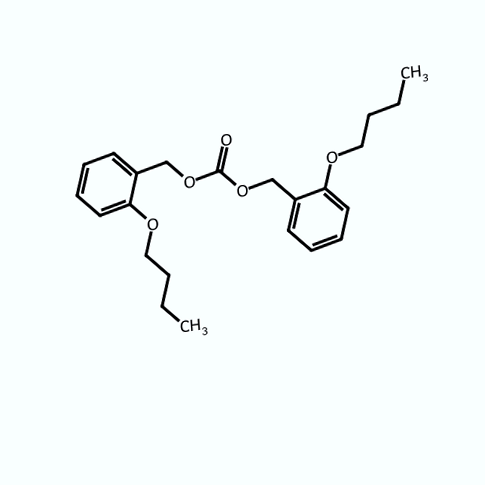 CCCCOc1ccccc1COC(=O)OCc1ccccc1OCCCC